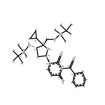 CC(C)(C)[Si](C)(C)OC[C@@]1(C2CC2)O[C@@H](n2ccc(=O)n(C(=O)c3ccccc3)c2=O)C[C@@H]1O[Si](C)(C)C(C)(C)C